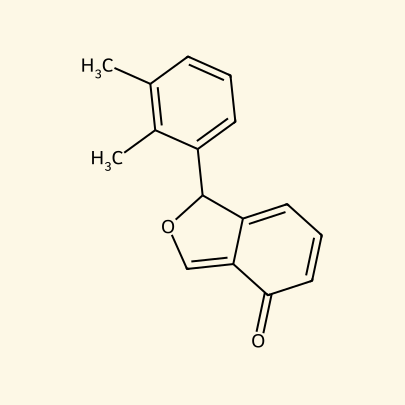 Cc1cccc(C2OC=C3C(=O)C=CC=C32)c1C